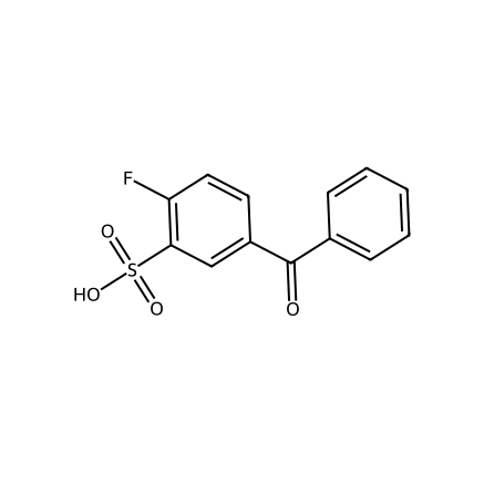 O=C(c1ccccc1)c1ccc(F)c(S(=O)(=O)O)c1